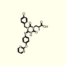 C[C@@H](Cn1c(=O)[nH]/c(=N\c2ccc(Oc3ncccn3)cc2)n(Cc2ccc(Cl)cc2)c1=O)C(=O)O